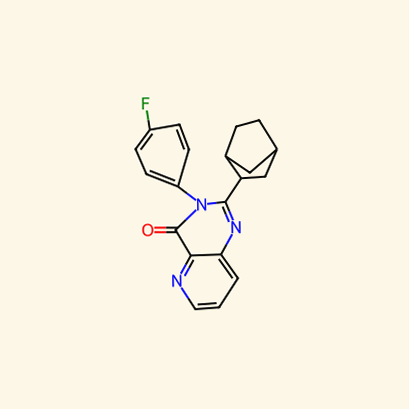 O=c1c2ncccc2nc(C2CC3CCC2C3)n1-c1ccc(F)cc1